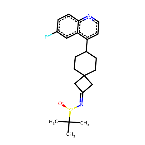 CC(C)(C)[S@@+]([O-])N=C1CC2(CCC(c3ccnc4ccc(F)cc34)CC2)C1